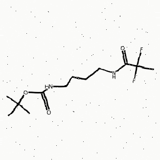 CC(C)(C)OC(=O)NCCCCNC(=O)C(C)(F)F